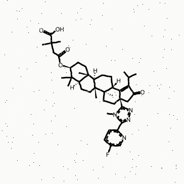 CC(C)C1=C2[C@H]3CC[C@@H]4[C@@]5(C)CC[C@H](OC(=O)CC(C)(C)C(=O)O)C(C)(C)[C@@H]5CC[C@@]4(C)[C@]3(C)CC[C@@]2(c2nnc(-c3ccc(F)cn3)n2C)CC1=O